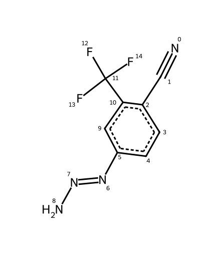 N#Cc1ccc(N=NN)cc1C(F)(F)F